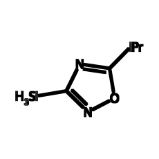 CC(C)c1nc([SiH3])no1